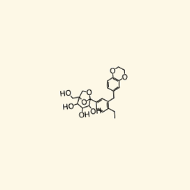 CCc1ccc(C23OCC(CO)(O2)C(O)C(O)C3O)cc1Cc1ccc2c(c1)OCCO2